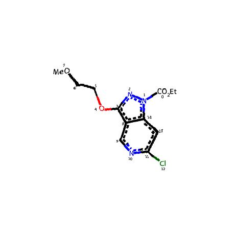 CCOC(=O)n1nc(OCCOC)c2cnc(Cl)cc21